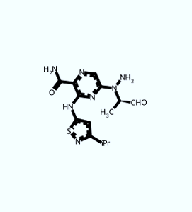 CC(C)c1cc(Nc2nc(N(N)[C@H](C)C=O)cnc2C(N)=O)sn1